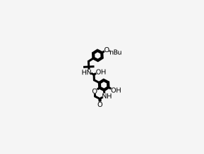 CCCCOc1ccc(CC(C)(C)NC(O)Cc2ccc(O)c3c2OCC(=O)N3)cc1